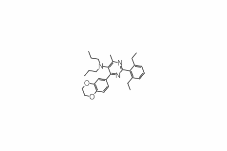 CCCN(CCC)c1c(C)nc(-c2c(CC)cccc2CC)nc1-c1ccc2c(c1)OCCO2